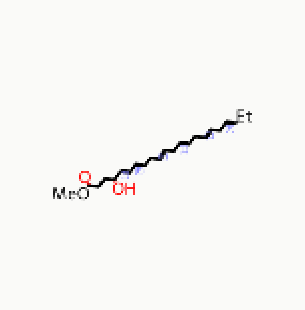 CC/C=C/C/C=C/C/C=C/C/C=C/C/C=C/C=C/C(O)CCC(=O)OC